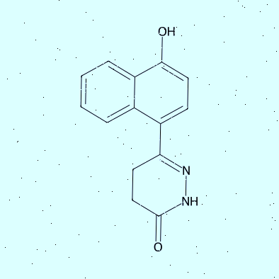 O=C1CCC(c2ccc(O)c3ccccc23)=NN1